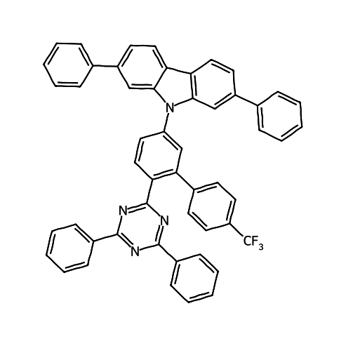 FC(F)(F)c1ccc(-c2cc(-n3c4cc(-c5ccccc5)ccc4c4ccc(-c5ccccc5)cc43)ccc2-c2nc(-c3ccccc3)nc(-c3ccccc3)n2)cc1